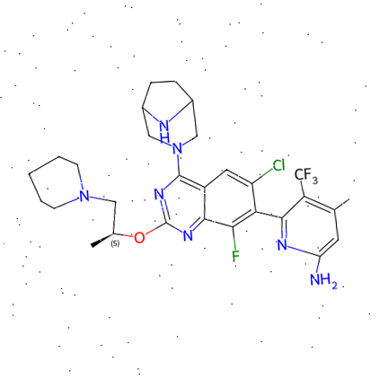 Cc1cc(N)nc(-c2c(Cl)cc3c(N4CC5CCC(C4)N5)nc(O[C@@H](C)CN4CCCCC4)nc3c2F)c1C(F)(F)F